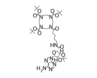 CC(C)(C)OC(=O)N1CCN(C(=O)CCCCNC(=O)[C@H]2O[C@@H](n3cnc4c(N)ncnc43)[C@@H]3OC(C)(C)O[C@@H]32)CCN(C(=O)OC(C)(C)C)CCN(C(=O)OC(C)(C)C)CC1